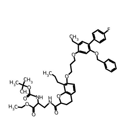 CCCc1c(OCCCOc2cc(OCc3ccccc3)c(-c3ccc(F)cc3)cc2CC)ccc2c1OC(C(=O)NCC(NC(=O)OC(C)(C)C)C(=O)OCC)CC2